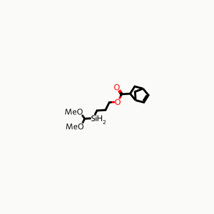 COC(OC)[SiH2]CCCOC(=O)C1CC2C=CC1C2